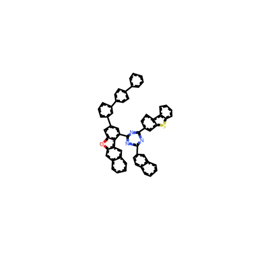 c1ccc(-c2ccc(-c3cccc(-c4cc(-c5nc(-c6ccc7ccccc7c6)nc(-c6ccc7c(c6)sc6ccccc67)n5)c5c(c4)oc4cc6ccccc6cc45)c3)cc2)cc1